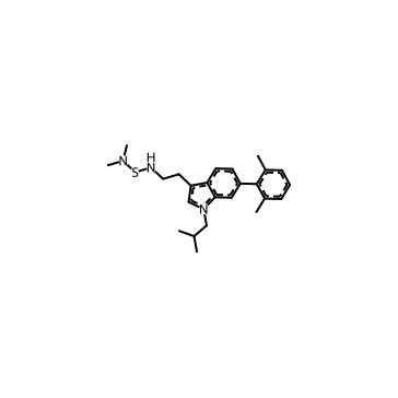 Cc1cccc(C)c1-c1ccc2c(CCNSN(C)C)cn(CC(C)C)c2c1